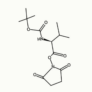 CC(C)[C@H](NC(=O)OC(C)(C)C)C(=O)ON1C(=O)CCC1=O